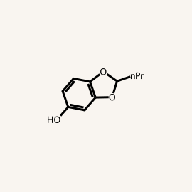 CCCC1Oc2ccc(O)cc2O1